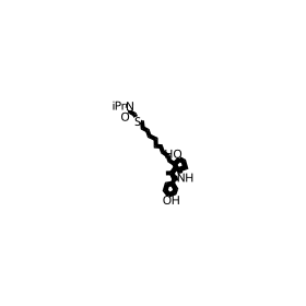 Cc1c(-c2ccc(O)cc2)[nH]c2ccc(O)c(CCCCCCCCCCSCC(=O)N(C)C(C)C)c12